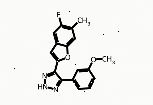 COc1cccc(-c2n[nH]nc2-c2cc3cc(F)c(C)cc3o2)c1